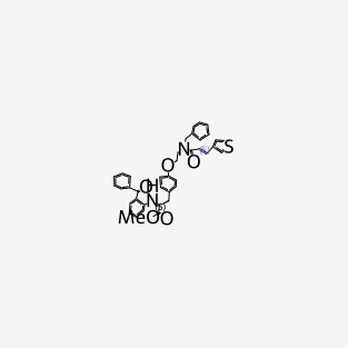 COC(=O)[C@H](Cc1ccc(OCCN(Cc2ccccc2)C(=O)/C=C/c2ccsc2)cc1)Nc1ccccc1C(=O)c1ccccc1